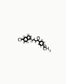 COc1ccc(C(=O)CCC[C@H]2CCc3cc(Cl)ccc32)cc1